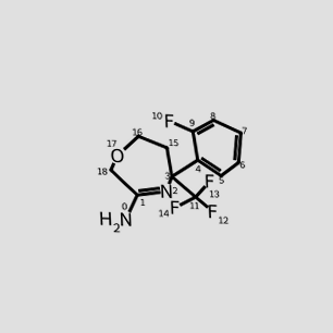 NC1=NC(c2ccccc2F)(C(F)(F)F)CCOC1